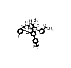 CC(=O)c1ccnc(NC(=O)C2=C(C)NC(Nc3nc4ccc(F)cc4o3)=NC2c2ccc(-c3ccc(C(F)(F)F)cc3)cc2Cl)c1